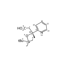 CC(C)(C)[Si](C)(C)O[C@](C)(CC(=O)O)c1ccccn1